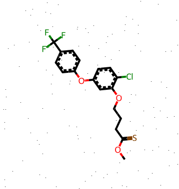 COC(=S)CCCOc1cc(Oc2ccc(C(F)(F)F)cc2)ccc1Cl